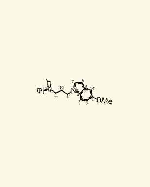 COc1ccc2c(ccn2CCCNC(C)C)c1